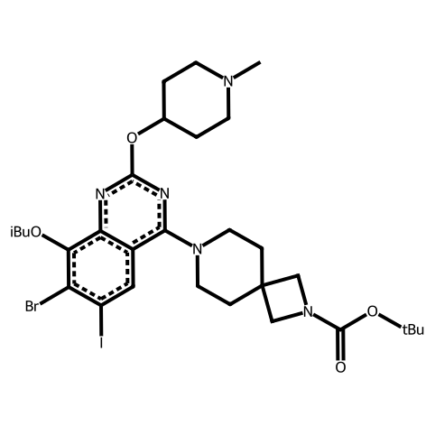 CC(C)COc1c(Br)c(I)cc2c(N3CCC4(CC3)CN(C(=O)OC(C)(C)C)C4)nc(OC3CCN(C)CC3)nc12